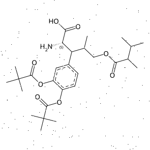 CC(C)C(C)C(=O)OCC(C)C(c1ccc(OC(=O)C(C)(C)C)c(OC(=O)C(C)(C)C)c1)[C@H](N)C(=O)O